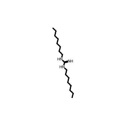 CCCCCCCCNC(=N)NCCCCCCCC